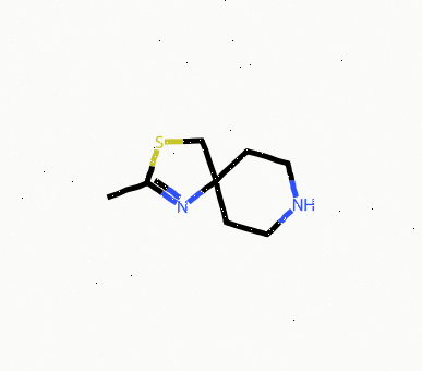 CC1=NC2(CCNCC2)CS1